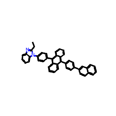 CCc1nc2ccccc2n1-c1ccc(-c2c3ccccc3c(-c3ccc(-c4ccc5ccccc5c4)cc3)c3ccccc23)cc1